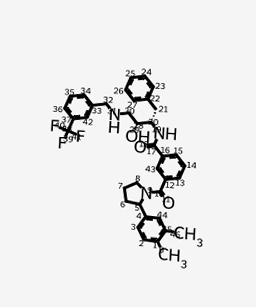 Cc1ccc(C2CCCN2C(=O)c2cccc(C(=O)N[C@@H](Cc3ccccc3)[C@H](O)CNCc3cccc(C(F)(F)F)c3)c2)cc1C